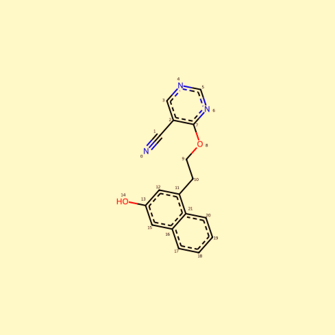 N#Cc1cncnc1OCCc1cc(O)cc2ccccc12